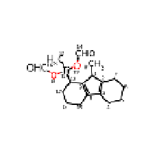 CC1C2=C(CCCC2)C2=C1[CH]([Ti]([CH3])([O]C=O)[O]C=O)CCC2